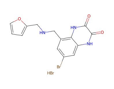 Br.O=c1[nH]c2cc(Br)cc(CNCc3ccco3)c2[nH]c1=O